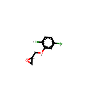 Fc1ccc(Br)cc1OCC1CO1